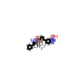 C[C@]1(c2ccccc2)C[C@@]1(NS(=O)(=O)c1ccc(-c2ccc3nnn(O)c3c2)s1)C(=O)O